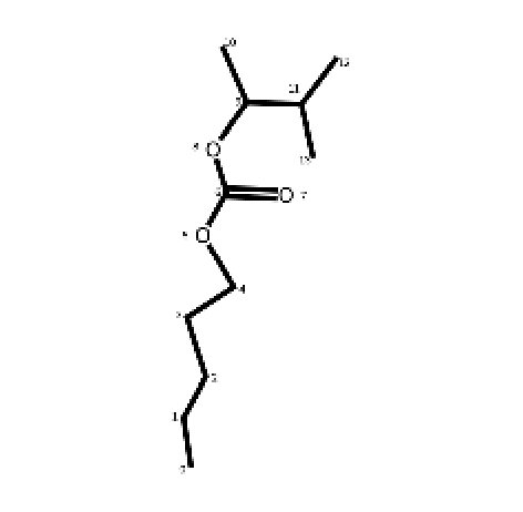 CCCCCOC(=O)OC(C)C(C)C